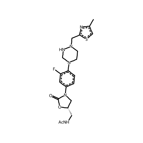 CC(=O)NC[C@H]1CN(c2ccc(N3CCN(Cc4nc(C)cs4)NC3)c(F)c2)C(=O)O1